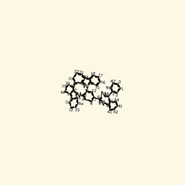 c1ccc(-c2nc(-c3ccc4c(c3)n3c5ccccc5c5cccc(c6cccc7c8ccccc8n4c76)c53)nc3ccccc23)cc1